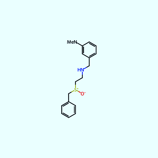 CNc1cccc(CNCC[S+]([O-])Cc2ccccc2)c1